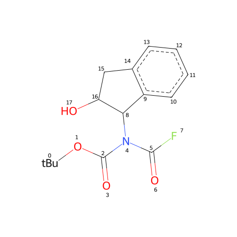 CC(C)(C)OC(=O)N(C(=O)F)C1c2ccccc2CC1O